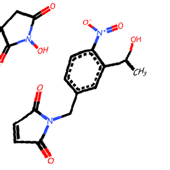 CC(O)c1cc(CN2C(=O)C=CC2=O)ccc1[N+](=O)[O-].O=C1CCC(=O)N1O